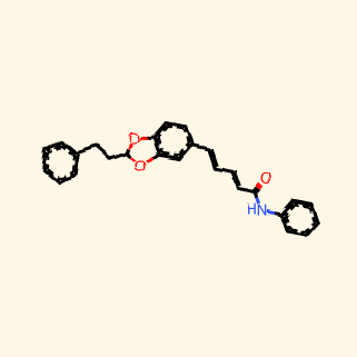 O=C(/C=C/C=Cc1ccc2c(c1)OC(CCc1ccccc1)O2)Nc1ccccc1